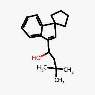 CC(C)(C)CC(O)C1=CC2(CCCC2)c2ccccc21